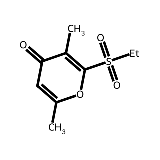 CCS(=O)(=O)c1oc(C)cc(=O)c1C